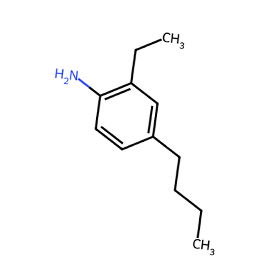 CCCCc1ccc(N)c(CC)c1